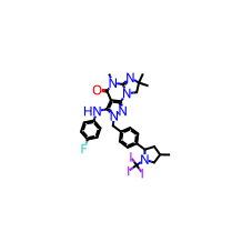 CC1CC(c2ccc(Cn3nc4c(c3Nc3ccc(F)cc3)C(=O)N(C)C3=NC(C)(C)CN34)cc2)N(C(I)(I)I)C1